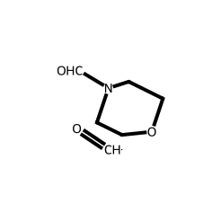 O=CN1CCOCC1.[CH]=O